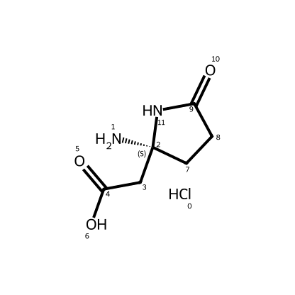 Cl.N[C@@]1(CC(=O)O)CCC(=O)N1